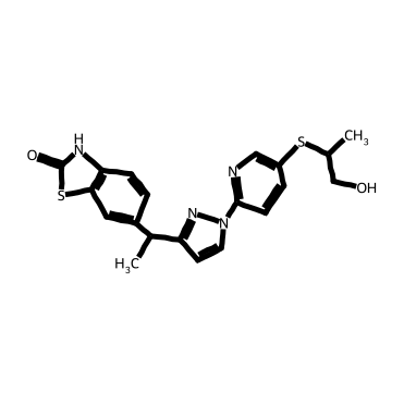 CC(CO)Sc1ccc(-n2ccc(C(C)c3ccc4[nH]c(=O)sc4c3)n2)nc1